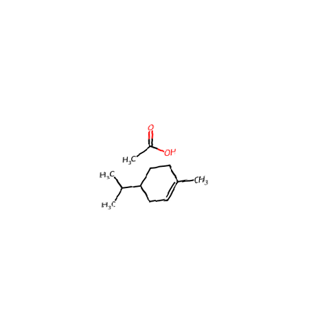 CC(=O)O.CC1=CCC(C(C)C)CC1